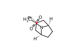 CC(C)[C@@H]1C[C@H]2CC[C@@H](C1)N2S(C)(=O)=O